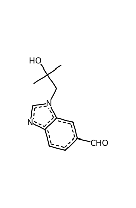 CC(C)(O)Cn1cnc2ccc(C=O)cc21